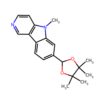 Cn1c2ccncc2c2ccc(C3OC(C)(C)C(C)(C)O3)cc21